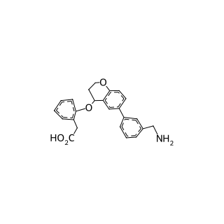 NCc1cccc(-c2ccc3c(c2)C(Oc2ccccc2CC(=O)O)CCO3)c1